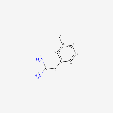 Cc1cccc(CC(N)N)c1